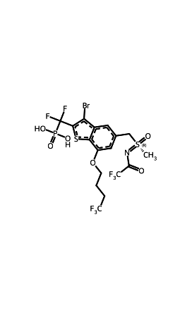 C[S@@](=O)(Cc1cc(OCCCC(F)(F)F)c2sc(C(F)(F)P(=O)(O)O)c(Br)c2c1)=NC(=O)C(F)(F)F